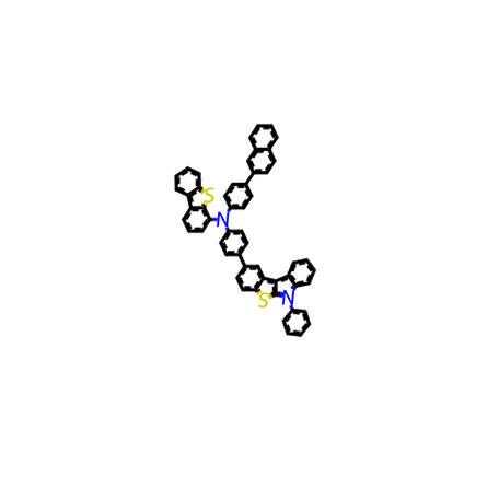 c1ccc(-n2c3ccccc3c3c4cc(-c5ccc(N(c6ccc(-c7ccc8ccccc8c7)cc6)c6cccc7c6sc6ccccc67)cc5)ccc4sc32)cc1